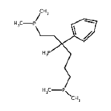 CP(C)CCCC(P)(CCP(C)C)c1ccccc1